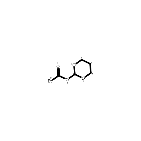 CCC(=O)OC1OCCCO1